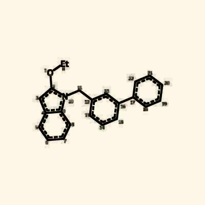 CCOc1cc2ccccc2n1Cc1cccc(-c2ccccc2)c1